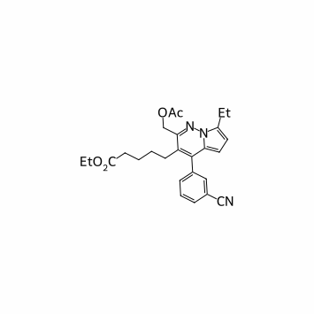 CCOC(=O)CCCCc1c(COC(C)=O)nn2c(CC)ccc2c1-c1cccc(C#N)c1